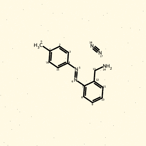 Cc1ccc(N=Nc2ccccc2CN)cc1.N#N